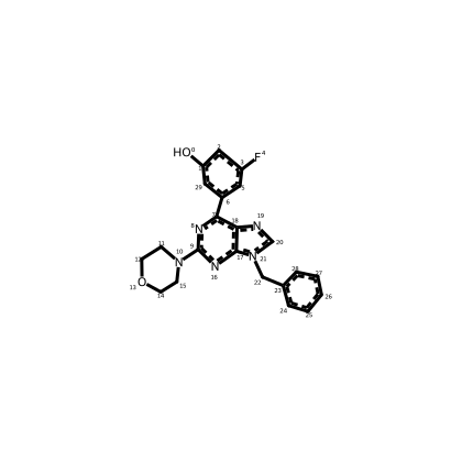 Oc1cc(F)cc(-c2nc(N3CCOCC3)nc3c2ncn3Cc2ccccc2)c1